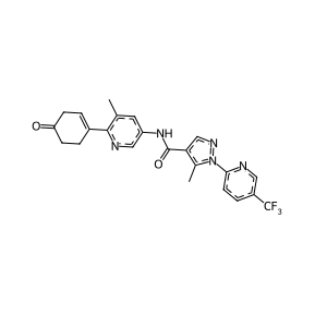 Cc1cc(NC(=O)c2cnn(-c3ccc(C(F)(F)F)cn3)c2C)cnc1C1=CCC(=O)CC1